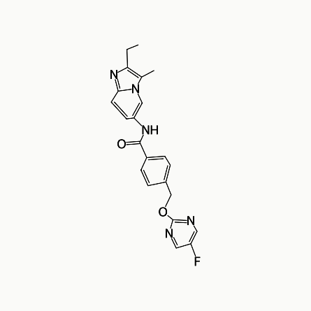 CCc1nc2ccc(NC(=O)c3ccc(COc4ncc(F)cn4)cc3)cn2c1C